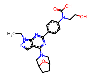 CCn1ncc2c(N3CC4CCC(C3)O4)nc(-c3ccc(N(CCO)C(=O)O)cc3)nc21